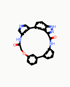 O=C1COc2cccc(c2)-c2cccc(c2)NC(=O)c2n[nH]c3ccc(cc23)-c2cncc(c2)N1